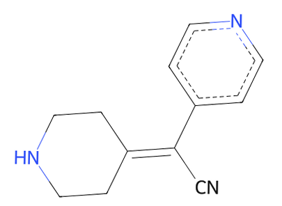 N#CC(=C1CCNCC1)c1ccncc1